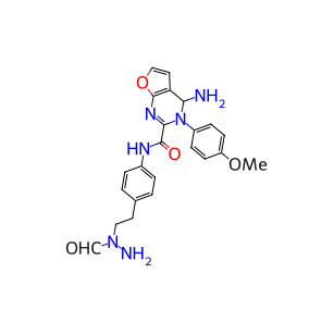 COc1ccc(N2C(C(=O)Nc3ccc(CCN(N)C=O)cc3)=Nc3occc3C2N)cc1